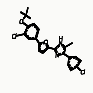 Cc1[nH]c(-c2ccc(-c3ccc(OC(C)(C)C)c(Cl)c3)o2)nc1-c1ccc(Cl)cc1